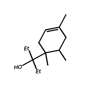 CCC(O)(CC)C1(C)CC=C(C)CC1C